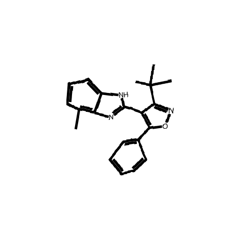 Cc1cccc2[nH]c(-c3c(C(C)(C)C)noc3-c3ccccc3)nc12